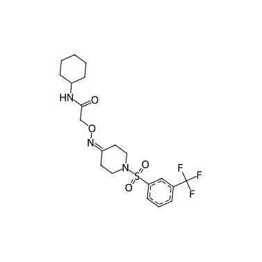 O=C(CON=C1CCN(S(=O)(=O)c2cccc(C(F)(F)F)c2)CC1)NC1CCCCC1